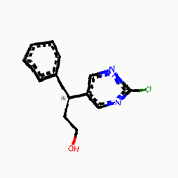 OCC[C@@H](c1ccccc1)c1cnc(Cl)nc1